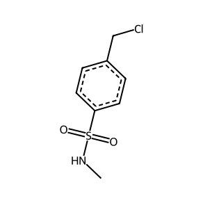 CNS(=O)(=O)c1ccc(CCl)cc1